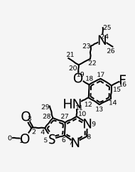 COC(=O)c1sc2ncnc(Nc3ccc(F)cc3OC(C)CCN(C)C)c2c1C